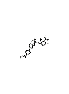 CCCc1ccc(-c2ccc(OC(F)(F)CCc3ccc(C)c(C(F)F)c3F)cc2)cc1